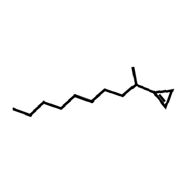 CCCCCCCCC(C)C1=CC1